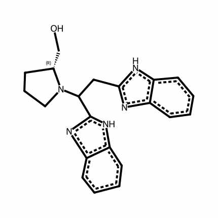 OC[C@H]1CCCN1C(Cc1nc2ccccc2[nH]1)c1nc2ccccc2[nH]1